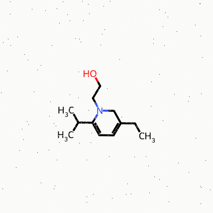 CCC1=CC=C(C(C)C)N(CCO)C1